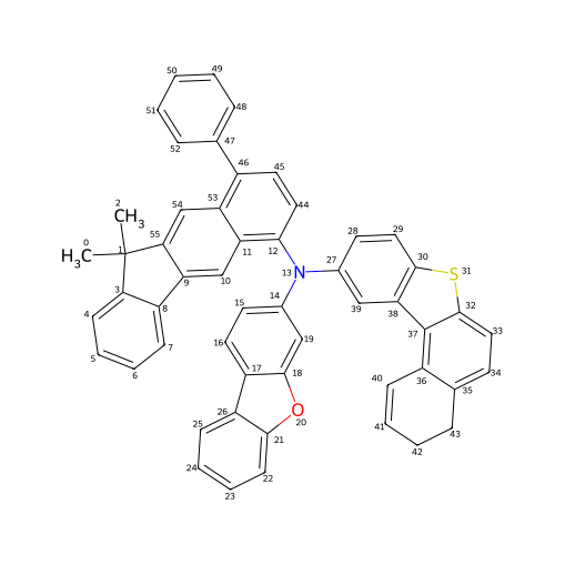 CC1(C)c2ccccc2-c2cc3c(N(c4ccc5c(c4)oc4ccccc45)c4ccc5sc6ccc7c(c6c5c4)C=CCC7)ccc(-c4ccccc4)c3cc21